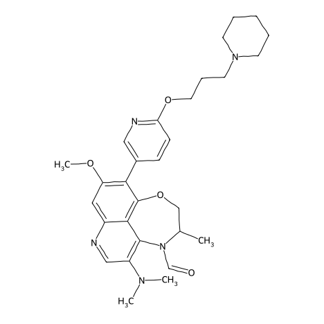 COc1cc2ncc(N(C)C)c3c2c(c1-c1ccc(OCCCN2CCCCC2)nc1)OCC(C)N3C=O